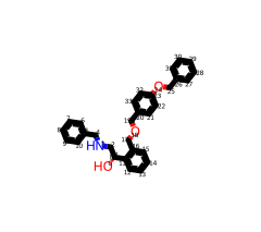 O[C@@H](CNCc1ccccc1)c1ccccc1COCc1ccc(OCc2ccccc2)cc1